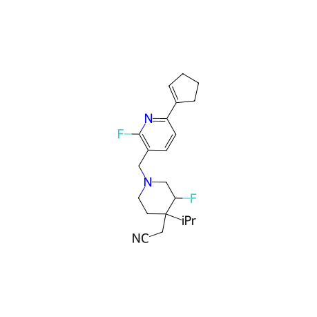 CC(C)C1(CC#N)CCN(Cc2ccc(C3=CCCC3)nc2F)CC1F